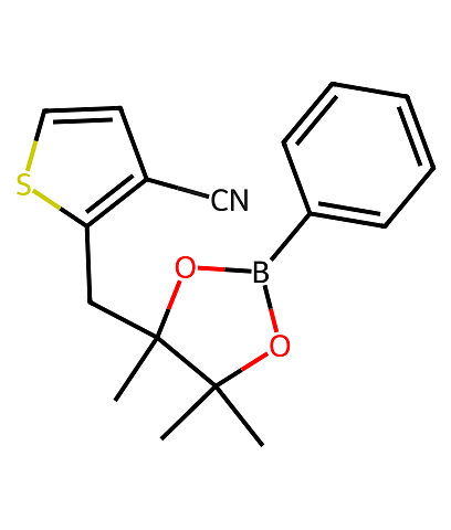 CC1(C)OB(c2ccccc2)OC1(C)Cc1sccc1C#N